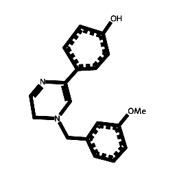 COc1cccc(CN2C=C(c3ccc(O)cc3)N=CC2)c1